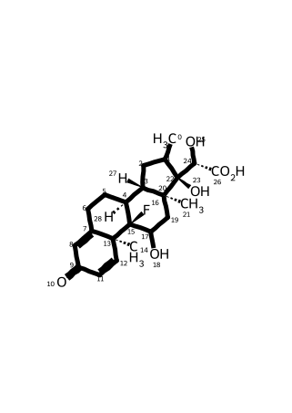 CC1C[C@H]2[C@@H]3CCC4=CC(=O)C=C[C@]4(C)[C@@]3(F)C(O)C[C@]2(C)[C@@]1(O)[C@H](O)C(=O)O